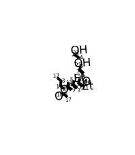 C=CC.C=CC.C=CC.C=CC.CCCOC(C)=O.CCOCC.OCCO